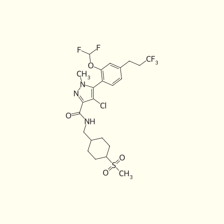 Cn1nc(C(=O)NCC2CCC(S(C)(=O)=O)CC2)c(Cl)c1-c1ccc(CCC(F)(F)F)cc1OC(F)F